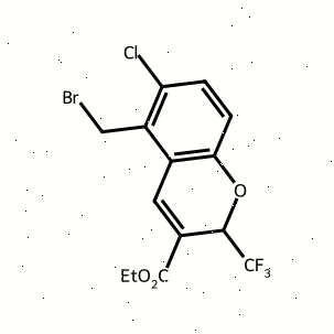 CCOC(=O)C1=Cc2c(ccc(Cl)c2CBr)OC1C(F)(F)F